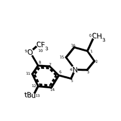 CC1CCN(Cc2cc(OC(F)(F)F)cc(C(C)(C)C)c2)CC1